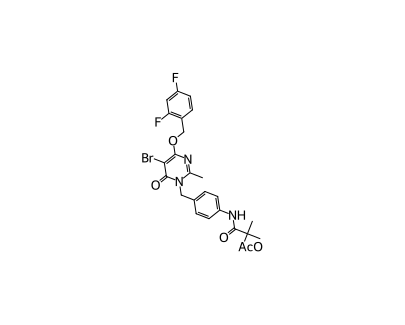 CC(=O)OC(C)(C)C(=O)Nc1ccc(Cn2c(C)nc(OCc3ccc(F)cc3F)c(Br)c2=O)cc1